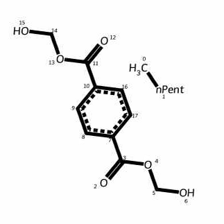 CCCCCC.O=C(OCO)c1ccc(C(=O)OCO)cc1